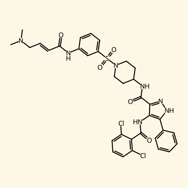 CN(C)C/C=C/C(=O)Nc1cccc(S(=O)(=O)N2CCC(NC(=O)c3n[nH]c(-c4ccccc4)c3NC(=O)c3c(Cl)cccc3Cl)CC2)c1